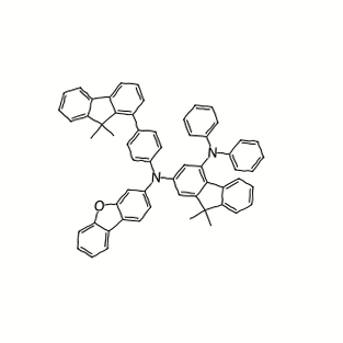 CC1(C)c2ccccc2-c2c(N(c3ccccc3)c3ccccc3)cc(N(c3ccc(-c4cccc5c4C(C)(C)c4ccccc4-5)cc3)c3ccc4c(c3)oc3ccccc34)cc21